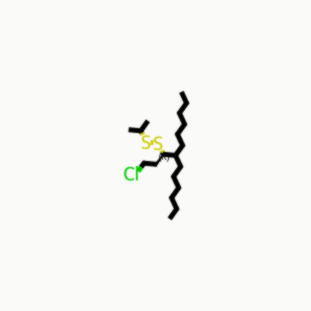 CCCCCCC(CCCCCC)[C@@H](CCCl)SSC(C)C